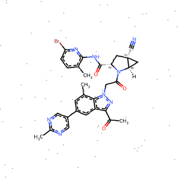 CC(=O)c1nn(CC(=O)N2[C@H](C(=O)Nc3nc(Br)ccc3C)C[C@@]3(C#N)C[C@@H]23)c2c(C)cc(-c3cnc(C)nc3)cc12